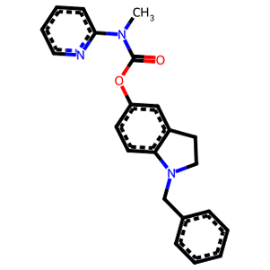 CN(C(=O)Oc1ccc2c(c1)CCN2Cc1ccccc1)c1ccccn1